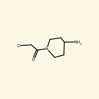 NC1CCN(C(=O)CCl)CC1